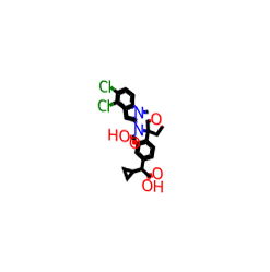 Cn1c(N(C(=O)O)C2(c3ccc(C(C(=O)O)C4CC4)cc3)CCOC2)cc2c(Cl)c(Cl)ccc21